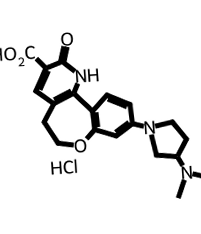 CN(C)C1CCN(c2ccc3c(c2)OCCc2cc(C(=O)O)c(=O)[nH]c2-3)C1.Cl